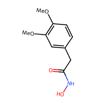 COc1ccc(CC(=O)NO)cc1OC